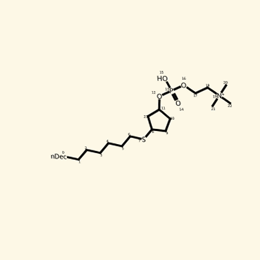 CCCCCCCCCCCCCCCCSC1CCC(OP(=O)(O)OCC[N+](C)(C)C)C1